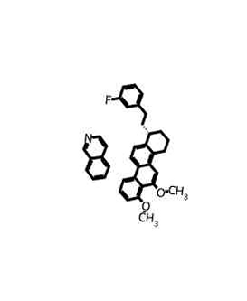 COc1cccc2c1c(OC)cc1c3c(ccc12)[C@H](CCc1cccc(F)c1)CCC3.c1ccc2cnccc2c1